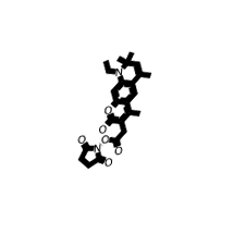 CCN1c2cc3oc(=O)c(CC(=O)ON4C(=O)CCC4=O)c(C)c3cc2C(C)=CC1(C)C